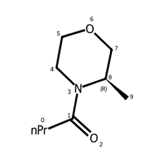 CCCC(=O)N1CCOC[C@H]1C